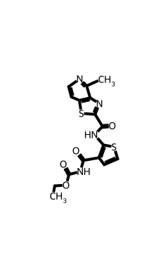 CCOC(=O)NC(=O)c1ccsc1NC(=O)c1nc2c(C)nccc2s1